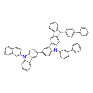 c1ccc(-c2ccc(C3c4ccccc4-c4cc5c6cc(-c7ccc8c(c7)c7ccccc7n8-c7ccc8ccccc8c7)ccc6n(-c6cccc(-c7ccccc7)c6)c5cc43)cc2)cc1